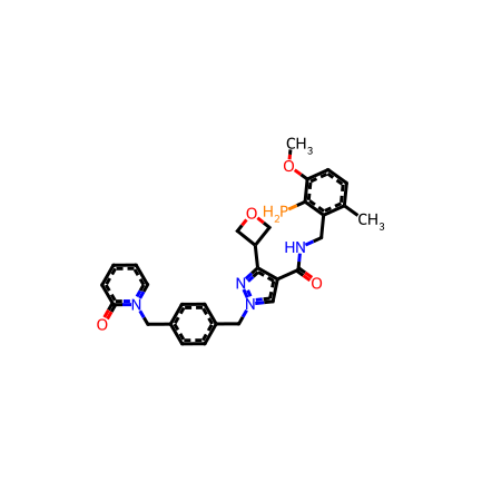 COc1ccc(C)c(CNC(=O)c2cn(Cc3ccc(Cn4ccccc4=O)cc3)nc2C2COC2)c1P